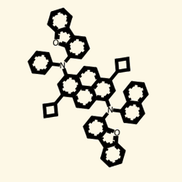 c1ccc(N(c2cc(C3CCC3)c3ccc4c(N(c5cccc6ccccc56)c5cccc6c5oc5ccccc56)cc(C5CCC5)c5ccc2c3c54)c2cccc3c2oc2ccccc23)cc1